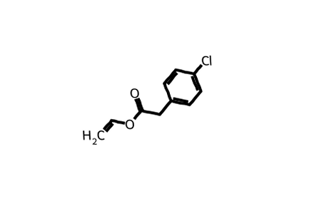 C=COC(=O)Cc1ccc(Cl)cc1